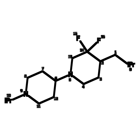 CC(C)CC1CCN(C2CCN(C(C)C)CC2)CC1(F)F